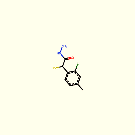 Cc1ccc(C(S)C(=O)NN)c(Cl)c1